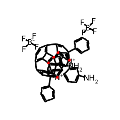 F[B-](F)(F)F.F[B-](F)(F)F.Nc1ccc2c(c1)c1c3ccc(c4cc(-c5ccccc5)[n+](c(-c5ccccc5)c4)c4ccc(N)cc4[n+]4c(-c5ccccc5)cc3cc4-c3ccccc3)c21